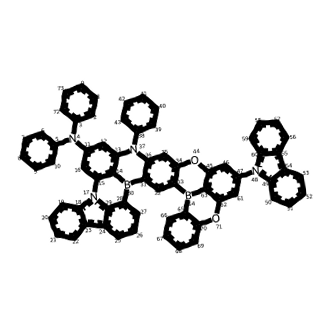 c1ccc(N(c2ccccc2)c2cc3c4c(c2)-n2c5ccccc5c5cccc(c52)B4c2cc4c(cc2N3c2ccccc2)Oc2cc(-n3c5ccccc5c5ccccc53)cc3c2B4c2ccccc2O3)cc1